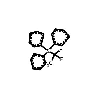 FC(F)(F)C(F)(F)S(c1ccccc1)(c1ccccc1)c1ccccc1